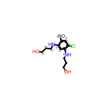 O=[N+]([O-])c1cc(Cl)c(NCCCO)cc1NCCCO